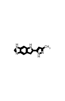 Cc1cc(C2Cc3cc4nc[nH]c4cc3N2)[nH]n1